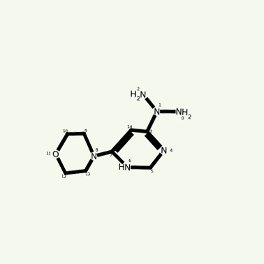 NN(N)C1=NCNC(N2CCOCC2)=C1